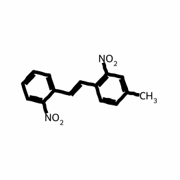 Cc1ccc(/C=C/c2ccccc2[N+](=O)[O-])c([N+](=O)[O-])c1